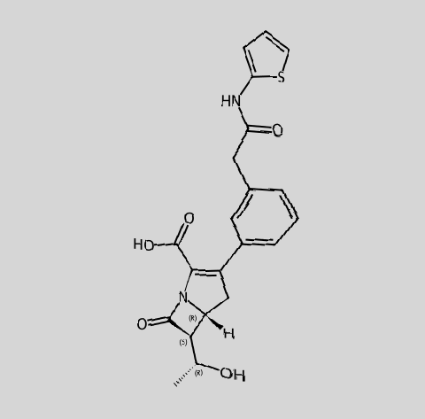 C[C@@H](O)[C@H]1C(=O)N2C(C(=O)O)=C(c3cccc(CC(=O)Nc4cccs4)c3)C[C@H]12